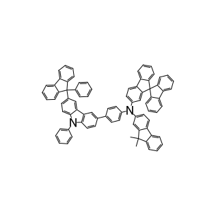 CC1(C)c2ccccc2-c2ccc(N(c3ccc(-c4ccc5c(c4)c4cc(C6(c7ccccc7)c7ccccc7-c7ccccc76)ccc4n5-c4ccccc4)cc3)c3ccc4c(c3)C3(c5ccccc5-c5ccccc53)c3ccccc3-4)cc21